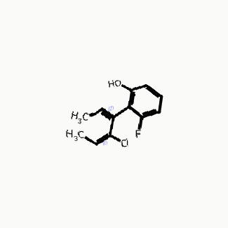 C/C=C(\C(Cl)=C/C)c1c(O)cccc1F